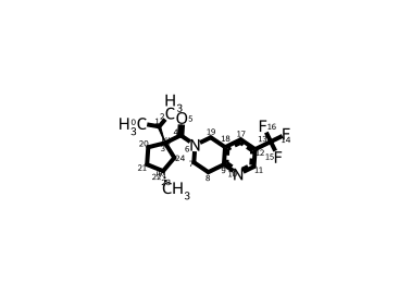 CC(C)[C@]1(C(=O)N2CCc3ncc(C(F)(F)F)cc3C2)CC[C@@H](C)C1